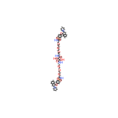 O=C(NCCOCCOCCOCCNS(=O)(=O)c1ccc(O[C@H]2c3ccccc3C[C@@H]2N2CCCCC2)cc1)[C@H](O)[C@@H](O)C(=O)NCCOCCOCCOCCNS(=O)(=O)c1ccc(O[C@H]2c3ccccc3C[C@@H]2N2CCCCC2)cc1